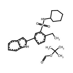 CC(C)(C)OC=O.CCc1ccc(-c2cc3ccccc3[nH]2)cc1S(=O)(=O)NC1CCCCC1